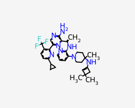 C=C(Nc1ncccc1N1CCC(C)(NC2=CC(C)(C)C2)CC1)c1nc(-c2nc(C3CC3)ccc2C(F)(F)F)cnc1N